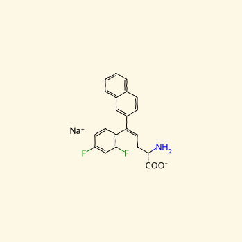 NC(C/C=C(/c1ccc2ccccc2c1)c1ccc(F)cc1F)C(=O)[O-].[Na+]